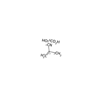 C=C(C)C#N.O=C(O)O